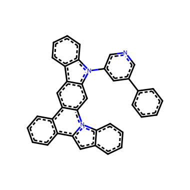 c1ccc(-c2cncc(-n3c4ccccc4c4cc5c6ccccc6c6cc7ccccc7n6c5cc43)c2)cc1